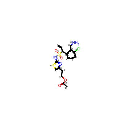 C=CC(c1cccc(Cl)c1CN)S(=O)(=O)Nc1nc(CCOC(C)=O)cs1